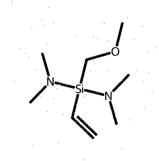 C=C[Si](COC)(N(C)C)N(C)C